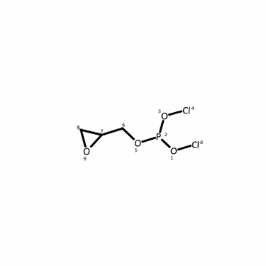 ClOP(OCl)OCC1CO1